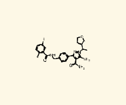 Cc1ccc(F)cc1C(=O)NCc1ccc(-c2nn(C(C)C3CCOC3)c(N)c2C(N)=O)cc1